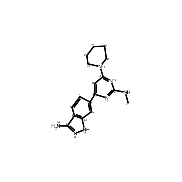 CNc1nc(-c2ccc3c(N)n[nH]c3c2)cc(N2CCCCC2)n1